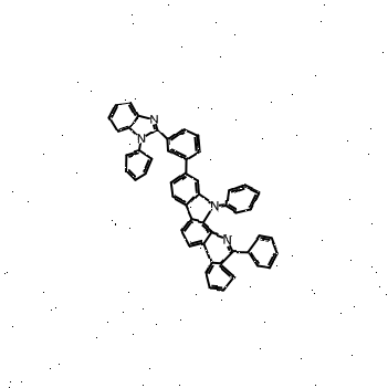 c1ccc(-c2nc3c(ccc4c5ccc(-c6cccc(-c7nc8ccccc8n7-c7ccccc7)c6)cc5n(-c5ccccc5)c43)c3ccccc23)cc1